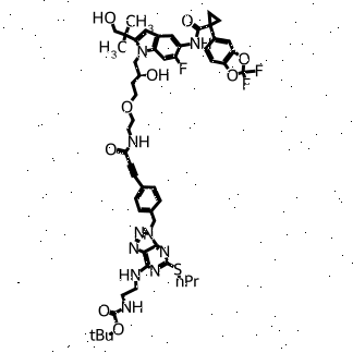 CCCSc1nc(NCCNC(=O)OC(C)(C)C)c2nnn(Cc3ccc(C#CC(=O)NCCOCC[C@H](O)Cn4c(C(C)(C)CO)cc5cc(NC(=O)C6(c7ccc8c(c7)OC(F)(F)O8)CC6)c(F)cc54)cc3)c2n1